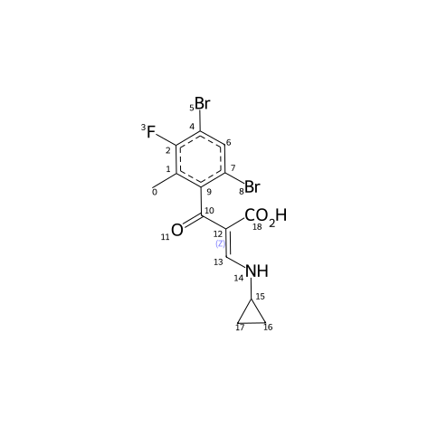 Cc1c(F)c(Br)cc(Br)c1C(=O)/C(=C/NC1CC1)C(=O)O